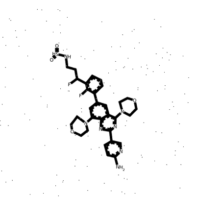 Nc1ccc(-c2nc(N3CCOCC3)c3cc(-c4cccc(C(F)CCN[SH](=O)=O)c4F)cc(N4CCOCC4)c3n2)cn1